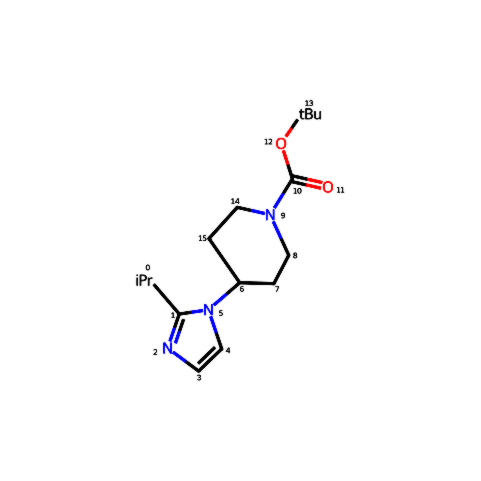 CC(C)c1nccn1C1CCN(C(=O)OC(C)(C)C)CC1